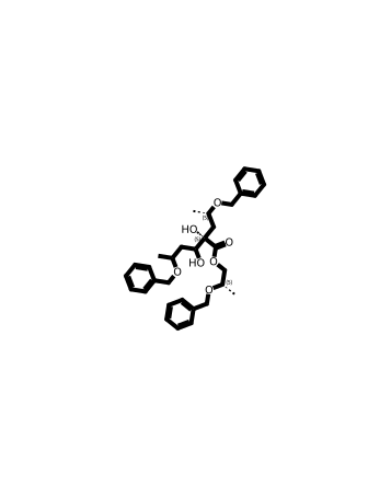 CC(CC(O)[C@@](O)(C[C@H](C)OCc1ccccc1)C(=O)OC[C@H](C)OCc1ccccc1)OCc1ccccc1